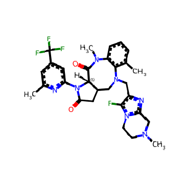 Cc1cc(C(F)(F)F)cc(N2C(=O)CC3CN(Cc4nc5n(c4F)CCN(C)C5)c4c(C)cccc4N(C)C(=O)[C@H]32)n1